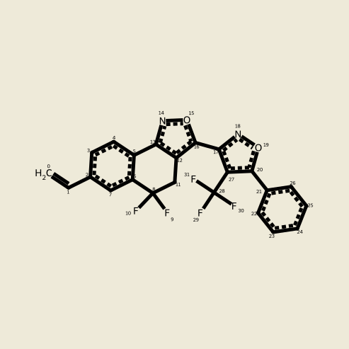 C=Cc1ccc2c(c1)C(F)(F)Cc1c-2noc1-c1noc(-c2ccccc2)c1C(F)(F)F